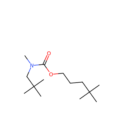 CN(CC(C)(C)C)C(=O)OCCCC(C)(C)C